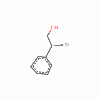 CC(C)[C@H](CO)c1ccccc1